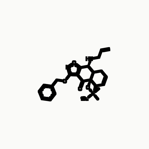 C=CCN[C@@H]1c2onc(OCc3ccccc3)c2C(=O)[C@@]2(O[Si](C)(C)C(C)(C)C)C(=O)C=CCC12